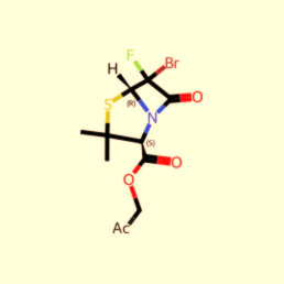 CC(=O)COC(=O)[C@@H]1N2C(=O)C(F)(Br)[C@H]2SC1(C)C